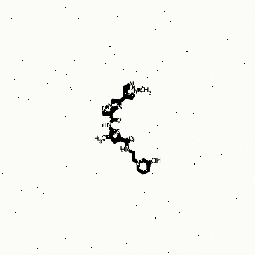 Cc1cc(C(=O)NCCN2CCCC(O)C2)sc1NC(=O)c1cnn2cc(-c3cnn(C)c3)sc12